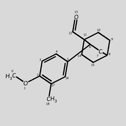 COc1ccc(C2CC3CCC2(C=O)CC3)cc1C